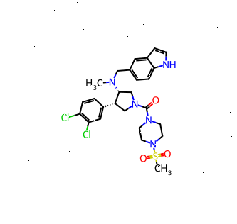 CN(Cc1ccc2[nH]ccc2c1)[C@@H]1CN(C(=O)N2CCN(S(C)(=O)=O)CC2)C[C@@H]1c1ccc(Cl)c(Cl)c1